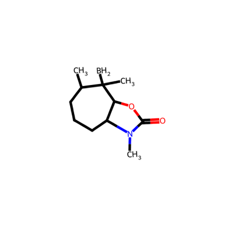 BC1(C)C(C)CCCC2C1OC(=O)N2C